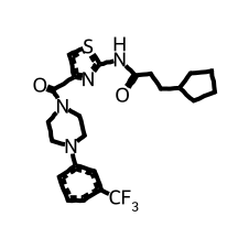 O=C(CCC1CCCC1)Nc1nc(C(=O)N2CCN(c3cccc(C(F)(F)F)c3)CC2)cs1